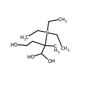 CC[Si](CC)(CC)C(C)(CCO)C(O)O